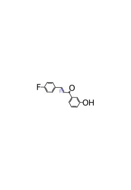 O=C(/C=C/c1ccc(F)cc1)c1cccc(O)c1